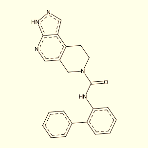 O=C(Nc1ccccc1-c1ccccc1)N1CCc2c(cnc3[nH]ncc23)C1